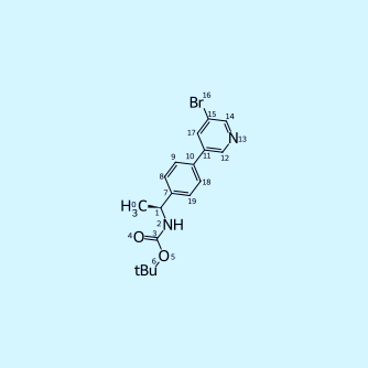 C[C@H](NC(=O)OC(C)(C)C)c1ccc(-c2cncc(Br)c2)cc1